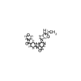 C=CC(=O)N[C@H]1CCN(c2cc(Nc3ccc(C(=O)N4CCOCC4)cc3)c(C=O)cn2)C1